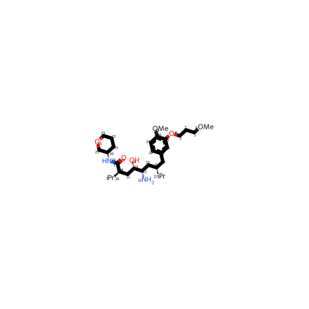 COCCCOc1cc(C[C@@H](C[C@H](N)[C@@H](O)C[C@H](C(=O)N[C@H]2CCCOC2)C(C)C)C(C)C)ccc1OC